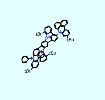 CC(C)(C)c1ccc(-c2ccccc2)c(N(c2ccccc2)c2ccc3c4cc5c(cc4n4c6c(C(C)(C)C)cccc6c2c34)c2ccc(N(c3ccccc3)c3cc(C(C)(C)C)ccc3-c3ccccc3)c3c4cccc(C(C)(C)C)c4n5c23)c1